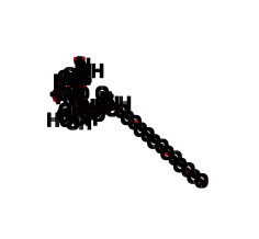 COCCOCCOCCOCCOCCOCCOCCOCCOCCOCCOCCOCCOCCC(=O)NC[C@@H]1CCC(=O)N1CC(=O)N[C@H](C(=O)N[C@@H](C)C(=O)Nc1ccc(COC(=O)N(CCOC23CC4(C)CC(C)(CC(Cn5ncc(-c6ccc(N7CCc8cccc(C(=O)Nc9nc%10ccccc%10s9)c8C7)nc6C(=O)O)c5C)(C4)C2)C3)CCS(C)(=O)=O)c(CC[C@@H]2O[C@H](C(=O)O)[C@@H](O)[C@H](O)[C@H]2O)c1)C(C)C